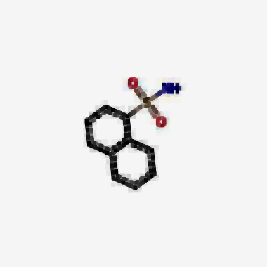 [NH]S(=O)(=O)c1cccc2ccccc12